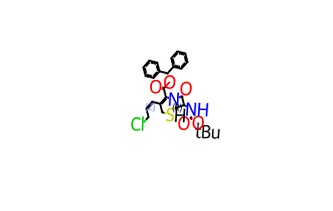 CC(C)(C)OC(=O)NC1C(=O)N2C(C(=O)OC(c3ccccc3)c3ccccc3)=C(/C=C\CCl)CS[C@H]12